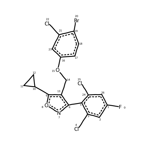 Fc1cc(Cl)c(-c2noc(C3CC3)c2COc2ccc(Br)c(Cl)c2)c(Cl)c1